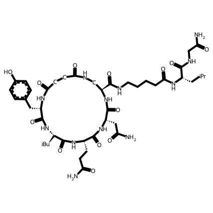 CC[C@H](C)[C@@H]1NC(=O)[C@H](Cc2ccc(O)cc2)NC(=O)CCC(=O)NC[C@@H](C(=O)NCCCCC(=O)N[C@@H](CC(C)C)C(=O)NCC(N)=O)NC(=O)[C@H](CC(N)=O)NC(=O)[C@H](CCC(N)=O)NC1=O